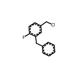 Fc1ccc(CCl)cc1Cc1ccccc1